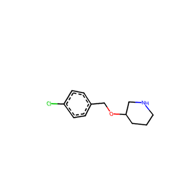 Clc1ccc(COC2CCCNC2)cc1